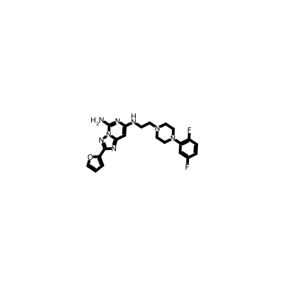 Nc1nc(NCCN2CCN(c3cc(F)ccc3F)CC2)cc2nc(-c3ccco3)nn12